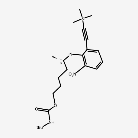 C[C@@H](CCCCOC(=O)NC(C)(C)C)Nc1c(C#C[Si](C)(C)C)cccc1[N+](=O)[O-]